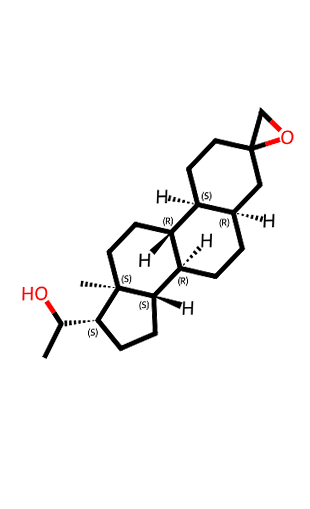 CC(O)[C@H]1CC[C@H]2[C@@H]3CC[C@@H]4CC5(CC[C@@H]4[C@H]3CC[C@]12C)CO5